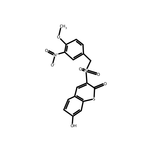 COc1ccc(CS(=O)(=O)c2cc3ccc(O)cc3sc2=O)cc1[N+](=O)[O-]